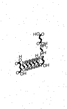 CCCCC(=O)O.NCCO.NCCO.NCCO.NCCO.NCCO.NCCO.O=C(O)CCC(=O)O.O=C(O)CCCC(=O)O